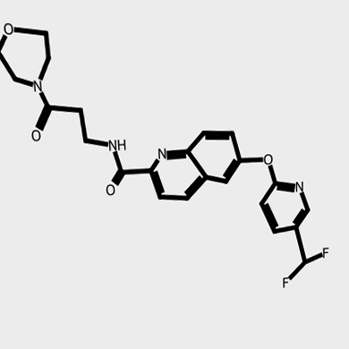 O=C(NCCC(=O)N1CCOCC1)c1ccc2cc(Oc3ccc(C(F)F)cn3)ccc2n1